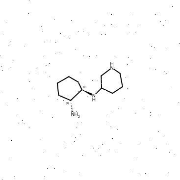 N[C@@H]1CCCC[C@H]1NC1CCCNC1